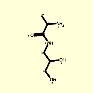 CC(N)C(=O)NCC(O)CO